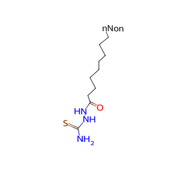 CCCCCCCCCCCCCCCCCC(=O)NNC(N)=S